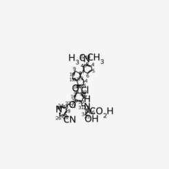 CN(C)c1cccc(-c2cccc3c2CC[C@@H]3Oc2cc(OCc3cncc(C#N)c3)c(CN[C@@H](CO)C(=O)O)cc2Cl)c1